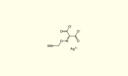 C#CCON=C(C(=O)[O-])C(=O)[O-].[Ag+2]